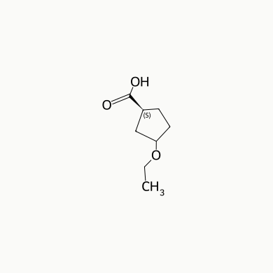 CCOC1CC[C@H](C(=O)O)C1